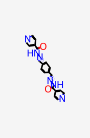 O=C(N/N=C/c1ccc(/C=N/NC(=O)c2ccncc2)cc1)c1ccncc1